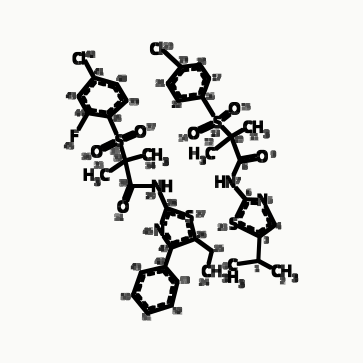 CC(C)c1cnc(NC(=O)C(C)(C)S(=O)(=O)c2ccc(Cl)cc2)s1.CCc1sc(NC(=O)C(C)(C)S(=O)(=O)c2ccc(Cl)cc2F)nc1-c1ccccc1